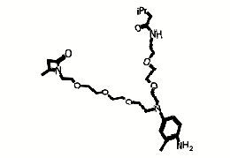 Cc1cc(N(CCOCCOCCNC(=O)CC(C)C)CCOCCOCCOCCN2C(=O)CC2C)ccc1N